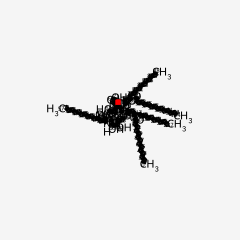 CCCCCCCCCCCCCC(=O)O[C@H](CCCCCCCCCCC)CC(=O)NC1[C@H](OCC2O[C@H](O)C(NC(=O)C[C@H](O)CCCCCCCCCCC)[C@@H](O)[C@@H]2O)OC(CO)[C@@H](OP(=O)(O)O)[C@@H]1OC(=O)C[C@@H](CCCCCCCCCCC)OC(=O)CCCCCCCCCCCCC